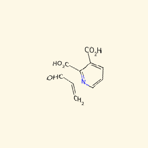 C=CC=O.O=C(O)c1cccnc1C(=O)O